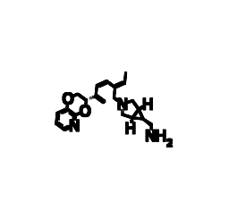 C=C(/C=C\C(=C/C)CN1C[C@@H]2[C@@H](CN)[C@@H]2C1)[C@H]1COc2cccnc2O1